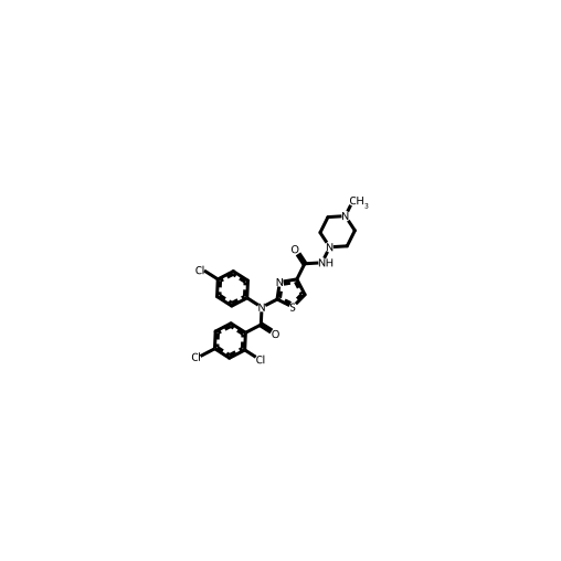 CN1CCN(NC(=O)c2csc(N(C(=O)c3ccc(Cl)cc3Cl)c3ccc(Cl)cc3)n2)CC1